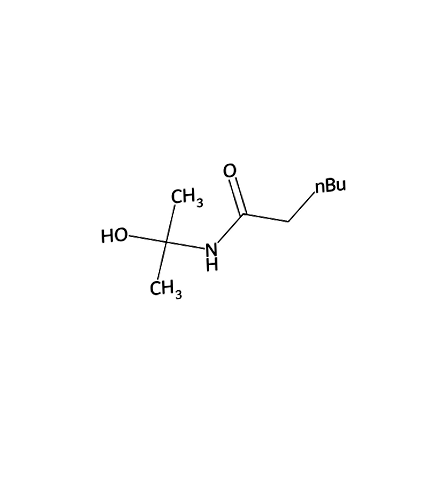 CCCCCC(=O)NC(C)(C)O